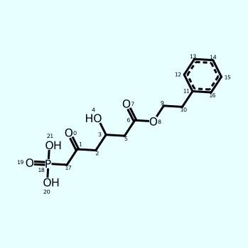 O=C(CC(O)CC(=O)OCCc1ccccc1)CP(=O)(O)O